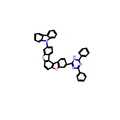 c1ccc(C2=NC(c3ccccc3)NC(c3ccc4c(c3)oc3ccc5sc6cc(-n7c8ccccc8c8ccccc87)ccc6c5c34)=N2)cc1